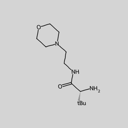 CC(C)(C)[C@@H](N)C(=O)NCCN1CCOCC1